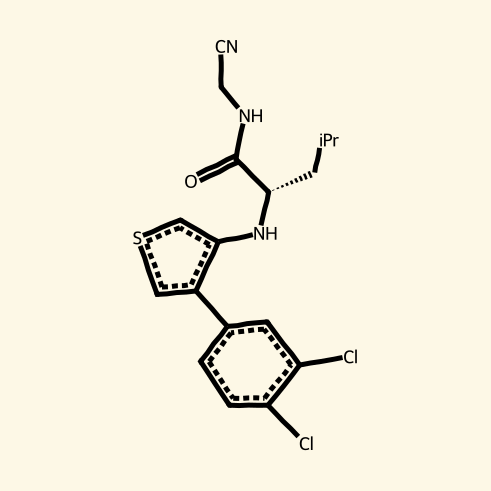 CC(C)C[C@H](Nc1cscc1-c1ccc(Cl)c(Cl)c1)C(=O)NCC#N